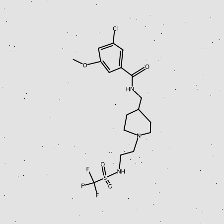 COc1cc(Cl)cc(C(=O)NCC2CCN(CCNS(=O)(=O)C(F)(F)F)CC2)c1